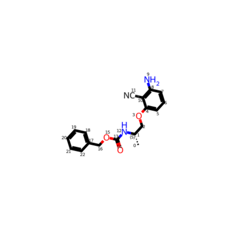 C[C@@H](COc1cccc(N)c1C#N)NC(=O)OCc1ccccc1